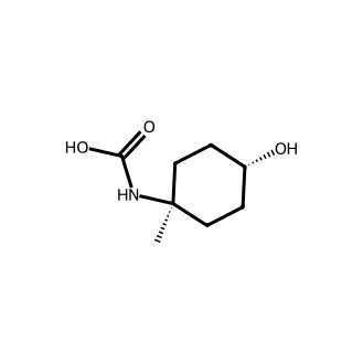 C[C@]1(NC(=O)O)CC[C@H](O)CC1